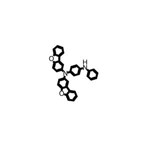 c1ccc(Nc2ccc(N(c3ccc4oc5ccccc5c4c3)c3ccc4oc5ccccc5c4c3)cc2)cc1